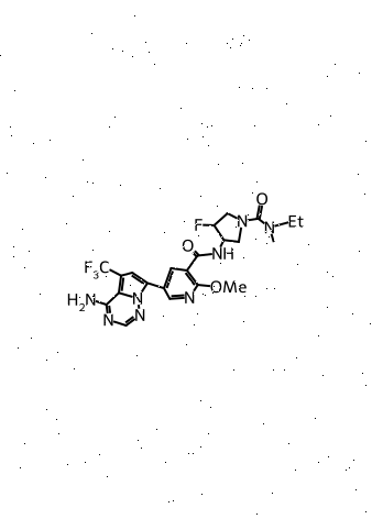 CCN(C)C(=O)N1CC(F)C(NC(=O)c2cc(-c3cc(C(F)(F)F)c4c(N)ncnn34)cnc2OC)C1